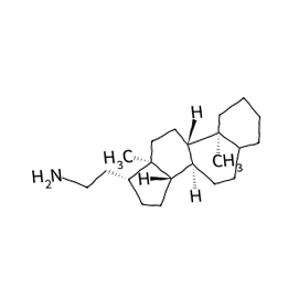 C[C@]12CC[C@H]3[C@@H](CCC4CCCC[C@@]43C)[C@@H]1CC[C@@H]2CCN